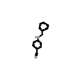 N#Cc1c[c]c(NCc2ccccc2)cc1